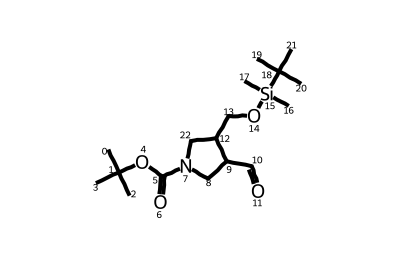 CC(C)(C)OC(=O)N1CC(C=O)C(CO[Si](C)(C)C(C)(C)C)C1